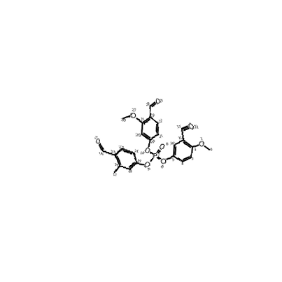 COc1ccc(OP(=O)(Oc2ccc(C=O)c(C)c2)Oc2ccc(C=O)c(OC)c2)cc1C=O